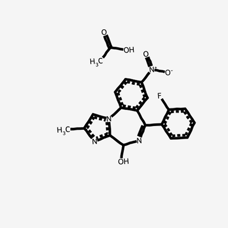 CC(=O)O.Cc1cn2c(n1)C(O)N=C(c1ccccc1F)c1cc([N+](=O)[O-])ccc1-2